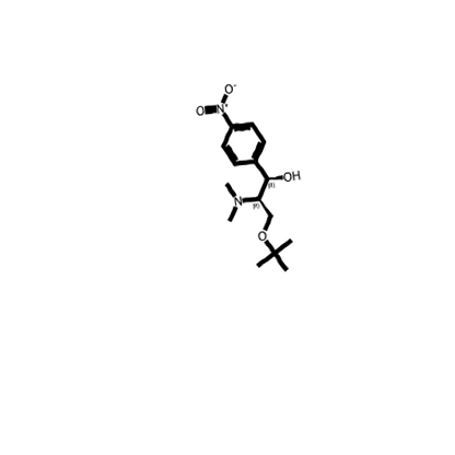 CN(C)[C@H](COC(C)(C)C)[C@H](O)c1ccc([N+](=O)[O-])cc1